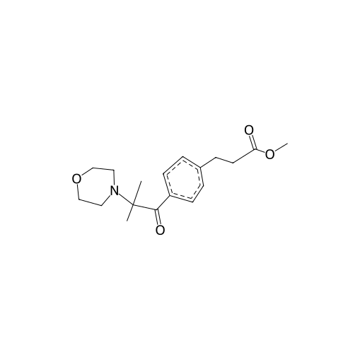 COC(=O)CCc1ccc(C(=O)C(C)(C)N2CCOCC2)cc1